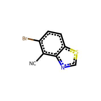 N#Cc1c(Br)ccc2scnc12